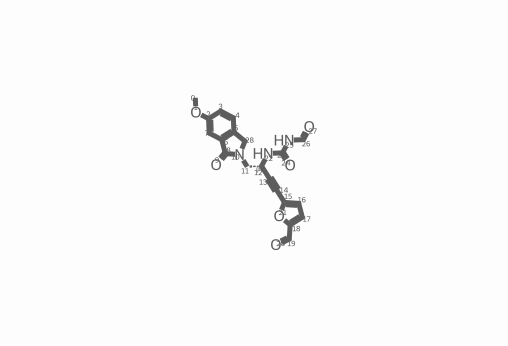 COc1ccc2c(c1)C(=O)N(C[C@@H](C#Cc1ccc(C=O)o1)NC(=O)NC=O)C2